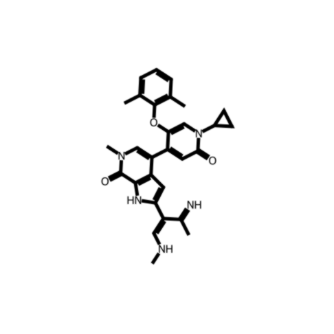 CN/C=C(\C(C)=N)c1cc2c(-c3cc(=O)n(C4CC4)cc3Oc3c(C)cccc3C)cn(C)c(=O)c2[nH]1